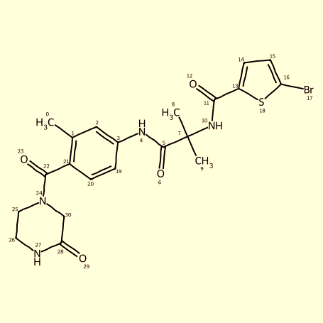 Cc1cc(NC(=O)C(C)(C)NC(=O)c2ccc(Br)s2)ccc1C(=O)N1CCNC(=O)C1